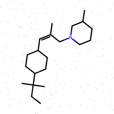 CCC(C)(C)C1CCC(C=C(C)CN2CCCC(C)C2)CC1